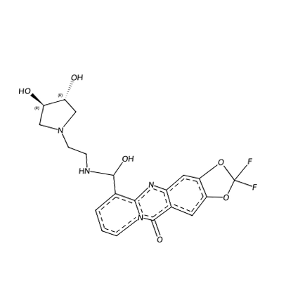 O=c1c2cc3c(cc2nc2c(C(O)NCCN4C[C@@H](O)[C@H](O)C4)cccn12)OC(F)(F)O3